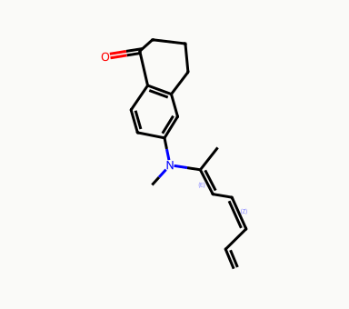 C=C/C=C\C=C(/C)N(C)c1ccc2c(c1)CCCC2=O